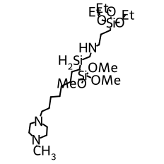 CCO[Si](CCCNC[SiH2]C(CCCCCCCN1CCN(C)CC1)[Si](OC)(OC)OC)(OCC)OCC